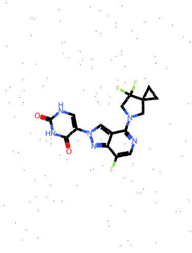 O=c1[nH]cc(-n2cc3c(N4CC(F)(F)C5(CC5)C4)ncc(F)c3n2)c(=O)[nH]1